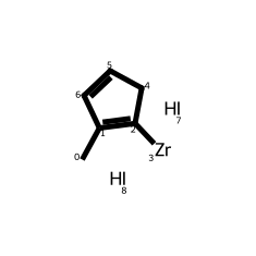 CC1=[C]([Zr])CC=C1.I.I